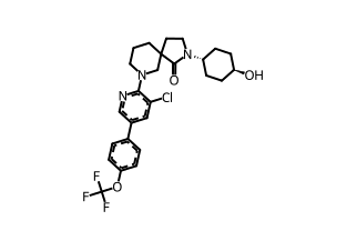 O=C1N([C@H]2CC[C@H](O)CC2)CCC12CCCN(c1ncc(-c3ccc(OC(F)(F)F)cc3)cc1Cl)C2